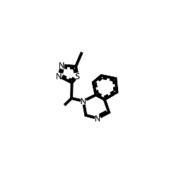 Cc1nnc(C(C)N2CN=Cc3ccccc32)s1